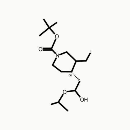 CC(C)OC(O)C[C@@H]1CCN(C(=O)OC(C)(C)C)CC1CI